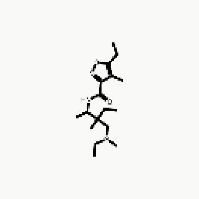 CCc1onc(C(=O)NC(C)C(C)(CC)CN(C)CC)c1C